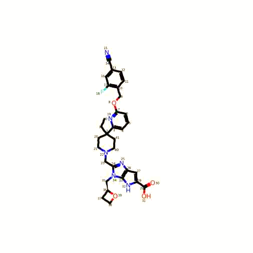 CCC1(c2cccc(OCc3ccc(C#N)cc3F)n2)CCN(Cc2nc3cc(C(=O)O)[nH]c3n2C[C@@H]2CCO2)CC1